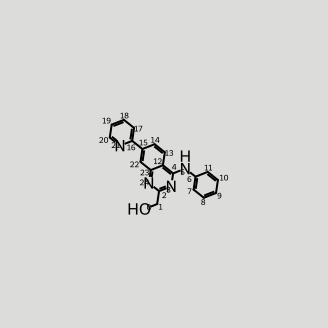 OCc1nc(Nc2ccccc2)c2ccc(-c3ccccn3)cc2n1